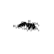 C=CC(=O)Nc1cc(Nc2nc(-c3ccnc(N4CCn5c(cc6c5CC(C)(C)C6)C4=O)c3CO)cn(C)c2=O)ccc1[C@@H]1CN(C(C)C)C(=O)CN1C(C)C